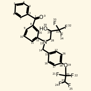 O=C(c1ccccc1)c1cccc(N(Cc2ccc(OC(F)(F)C(F)F)cc2)CC(O)C(F)(F)F)c1